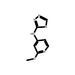 COc1cc(NC2=NN=C[N]2)ccn1